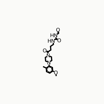 COc1ccc(C)c(N2CCN(C(=O)CCCNC(=O)NC=O)CC2)c1